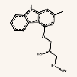 Cc1cc(OCC(O)CNC(C)C)c2c(c1)[nH]c1ccccc12